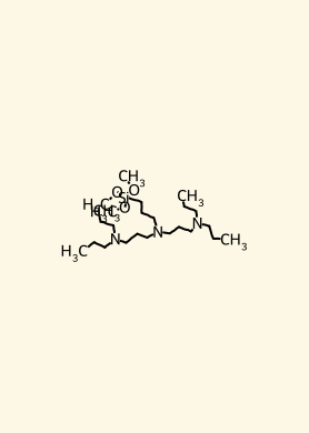 CCCN(CCC)CCCN(CCCN(CCC)CCC)CCC[Si](OC)(OC)OC